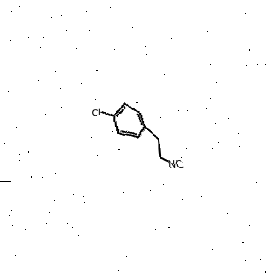 [C-]#[N+]CCc1ccc(Cl)cc1